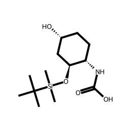 CC(C)(C)[Si](C)(C)O[C@H]1C[C@H](O)CC[C@@H]1NC(=O)O